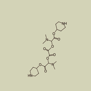 CN(C)C(OC(=O)C(=O)OC(C(=O)OC1CCNCC1)N(C)C)C(=O)OC1CCNCC1